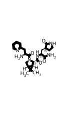 CC1(C)[C@@H]2[C@@H](C(=O)N[C@@H](C[C@@H]3CCNC3=O)C(N)=O)N(C(=O)[C@@H](N)Cc3ccccn3)C[C@@H]21